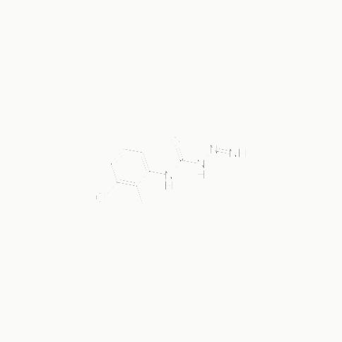 Cc1c(Cl)cccc1NC(=O)NN=N